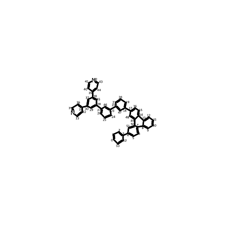 c1ccc(-c2ccc3c4ccccc4c4ccc(-c5cccc(-c6cccc(-c7cc(-c8ccncc8)cc(-c8ccncc8)c7)c6)c5)cc4c3c2)cc1